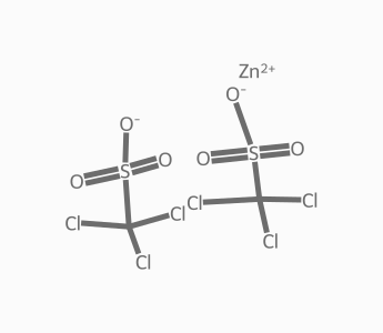 O=S(=O)([O-])C(Cl)(Cl)Cl.O=S(=O)([O-])C(Cl)(Cl)Cl.[Zn+2]